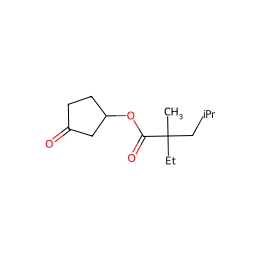 CCC(C)(CC(C)C)C(=O)OC1CCC(=O)C1